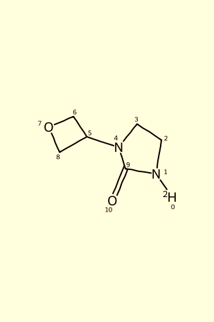 [2H]N1CCN(C2COC2)C1=O